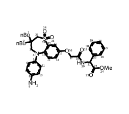 CCCCC1(CCCC)CN(c2ccc(N)cc2)c2ccc(OCC(=O)NC(C(=O)OC)c3ccccc3)cc2S(=O)(=O)C1